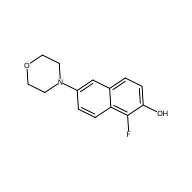 Oc1ccc2cc(N3CCOCC3)ccc2c1F